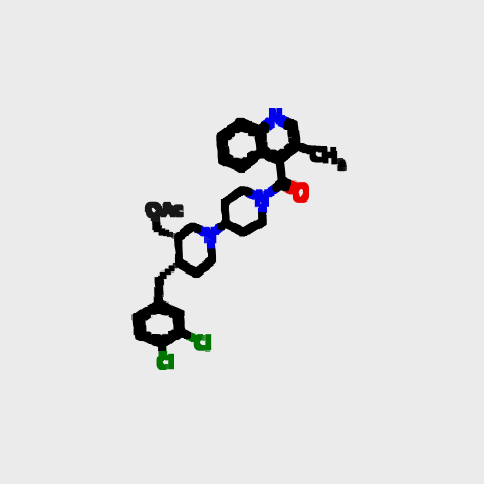 CC(=O)OC[C@@H]1CN(C2CCN(C(=O)c3c(C)cnc4ccccc34)CC2)CC[C@@H]1Cc1ccc(Cl)c(Cl)c1